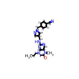 CCCN1CC(=O)N(C)c2cnc(NCc3cnn(Cc4ccc(C#N)cc4)c3)nc21